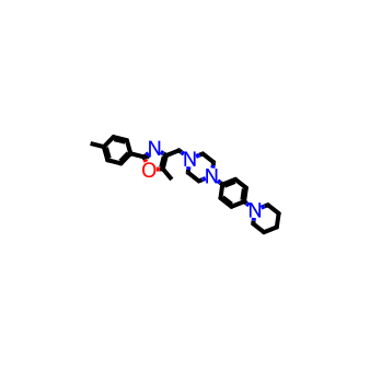 Cc1ccc(-c2nc(CN3CCN(c4ccc(N5CCCCC5)cc4)CC3)c(C)o2)cc1